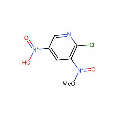 CO[N+](=O)c1cc([N+](=O)O)cnc1Cl